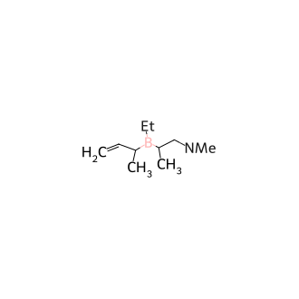 C=CC(C)B(CC)C(C)CNC